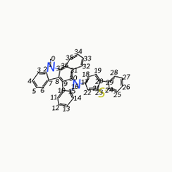 Cn1c2ccccc2c2c3c4ccccc4n(-c4ccc5c(c4)sc4ccccc45)c3c3ccccc3c21